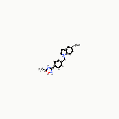 COc1ccc2c(ccn2Cc2ccc(-c3noc(C(F)(F)F)n3)cc2)c1